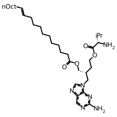 CCCCCCCC/C=C/CCCCCCCCCC(=O)OC[C@H](CCOC(=O)[C@@H](N)C(C)C)Cn1cnc2cnc(N)nc21